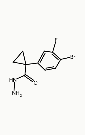 NNC(=O)C1(c2ccc(Br)c(F)c2)CC1